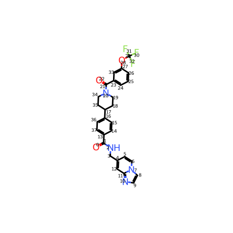 O=C(NCc1ccn2ccnc2c1)c1ccc(C2CCN(C(=O)c3cccc(OC(F)(F)F)c3)CC2)cc1